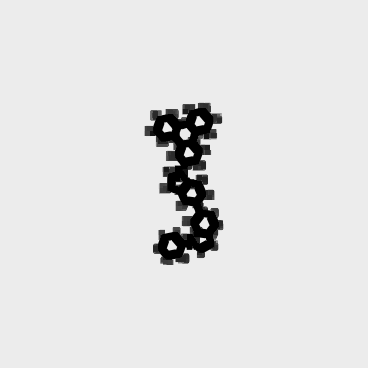 c1ccc(-n2ccc3ccc(-c4ccc5c(ccn5-c5ccc6c7ccccc7c7ccccc7c6c5)c4)cc32)cc1